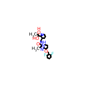 Cc1nc2c(OCc3c(F)cccc3F)cccn2c1C(=O)NCc1cccnc1[C@@H](O)[C@@H](C)O